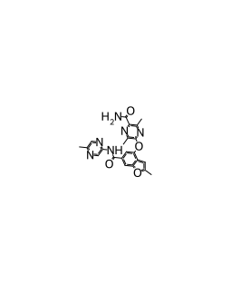 Cc1cnc(NC(=O)c2cc(Oc3nc(C)c(C(N)=O)nc3C)c3cc(C)oc3c2)cn1